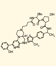 Cc1ncsc1-c1ccc(C(C)NC(=O)[C@@H]2C[C@@H](O)CN2C(=O)C(NC(=O)CCCN2CCN3c4cc(-c5ccccc5O)nnc4NC[C@H]3C2)C(C)(C)C)cc1